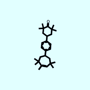 CC1=CC(C)(C)CC(c2ccc(C3CC(C)(C)C(=O)C(C)(C)C3)cc2)CC1(C)C